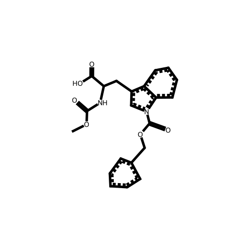 COC(=O)NC(Cc1cn(C(=O)OCc2ccccc2)c2ccccc12)C(=O)O